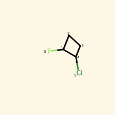 FC1CC[C]1Cl